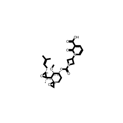 CO[C@@H]1[C@H](OC(=O)N2CC(n3cccc(C(=O)O)c3=O)C2)CC[C@]2(CO2)[C@H]1[C@@]1(C)O[C@@H]1CC=C(C)C